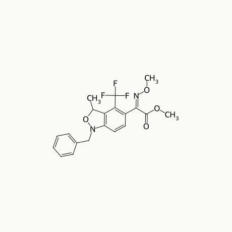 CON=C(C(=O)OC)c1ccc2c(c1C(F)(F)F)C(C)ON2Cc1ccccc1